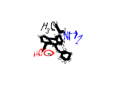 CCCCN.O=C(O)c1cccc2c1C(Cc1ccccc1)c1ccccc1-2